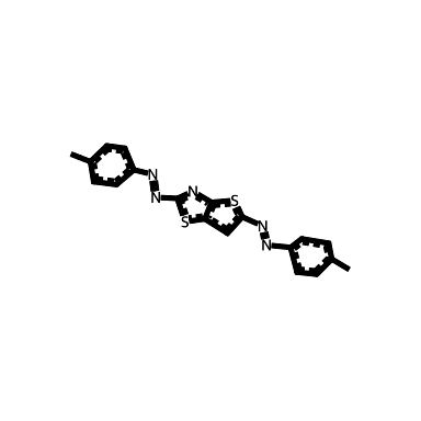 Cc1ccc(N=Nc2cc3sc(N=Nc4ccc(C)cc4)nc3s2)cc1